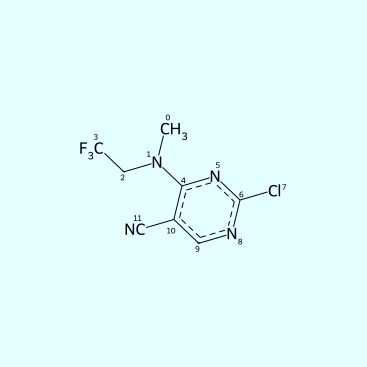 CN(CC(F)(F)F)c1nc(Cl)ncc1C#N